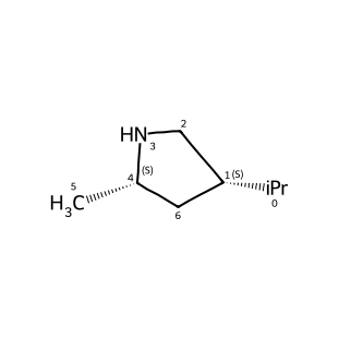 CC(C)[C@H]1CN[C@@H](C)C1